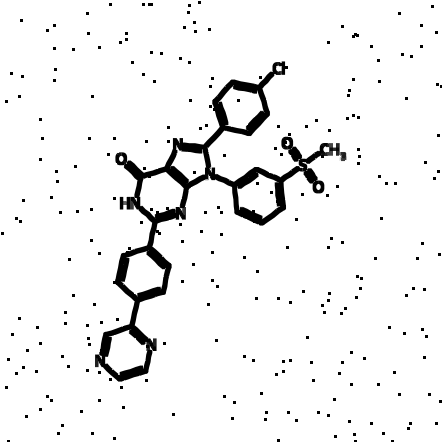 CS(=O)(=O)c1cccc(-n2c(-c3ccc(Cl)cc3)nc3c(=O)[nH]c(-c4ccc(-c5cnccn5)cc4)nc32)c1